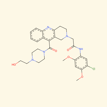 COc1cc(OC)c(NC(=O)CN2CCc3nc4ccccc4c(C(=O)N4CCN(CCO)CC4)c3C2)cc1Cl